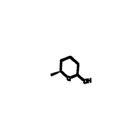 C[C@@H]1CCCC(O)O1